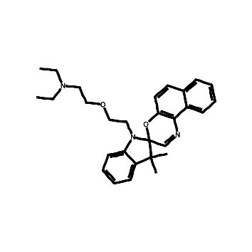 CCN(CC)CCOCCN1c2ccccc2C(C)(C)C12C=Nc1c(ccc3ccccc13)O2